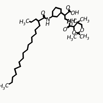 CCCCCCCCCCCCCCCCC(CCC)C(=O)NC1CCCC(C(CNC(=O)C2OC(C)(C)OCC2(C)C)C(=O)O)C1